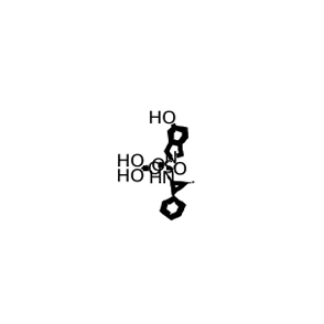 C[C@H]1[C@H](NS(=O)(=O)N2Cc3ccc(O)cc3C2)[C@H]1c1ccccc1.O=C(O)O